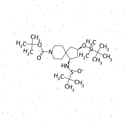 CC(C)(C)OC(=O)N1CCC2(CC1)C[C@@H](O[Si](C)(C)C(C)(C)C)C[C@H]2N[S+]([O-])C(C)(C)C